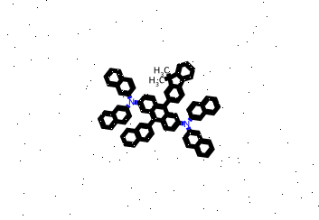 CC1(C)c2ccccc2-c2ccc(-c3c4ccc(N(c5ccc6ccccc6c5)c5ccc6ccccc6c5)cc4c(-c4ccc5c(c4)CCC=C5)c4ccc(N(c5ccc6ccccc6c5)c5ccc6ccccc6c5)cc34)cc21